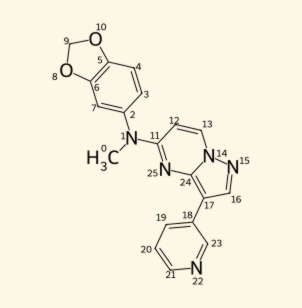 CN(c1ccc2c(c1)OCO2)c1ccn2ncc(-c3cccnc3)c2n1